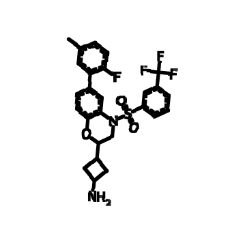 Cc1ccc(F)c(-c2ccc3c(c2)N(S(=O)(=O)c2cccc(C(F)(F)F)c2)CC(C2CC(N)C2)O3)c1